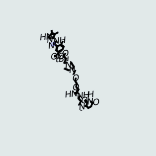 C/N=C(/Nc1n[nH]c(C)c1C)c1cc(S(=O)(=O)C(C)(C)C)c(OCCCN2CCN(CCOCCOCC(=N)NCCCN(C)C3CCC(=O)NC3=O)CC2)cc1C